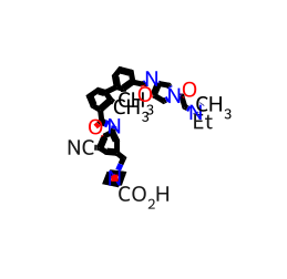 CCN(C)CC(=O)N1Cc2nc(-c3cccc(-c4cccc(-c5nc6cc(CN7CC8(C(=O)O)CC7C8)cc(C#N)c6o5)c4C)c3C)oc2C1